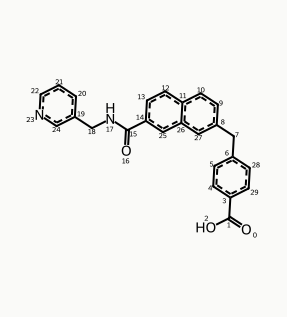 O=C(O)c1ccc(Cc2ccc3ccc(C(=O)NCc4cccnc4)cc3c2)cc1